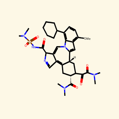 COc1ccc(C2CCCCC2)c2c1cc1n2C=C2C(=C3C[C@@H](C(=O)N(C)C)C(C(=O)C(=O)N(C)C)C[C@H]31)C=NC2C(=O)NS(=O)(=O)N(C)C